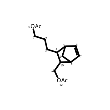 CC(=O)OCCCC1C2C=CC(C2)C1COC(C)=O